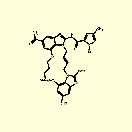 CCn1nc(C)cc1C(=O)Nc1nc2cc(C(N)=O)cc(OCCCNC)c2n1C/C=C/Cn1c(NC)nc2cc(C=O)cc(OC)c21